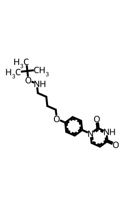 CC(C)(C)ONCCCCOc1ccc(-n2ccc(=O)[nH]c2=O)cc1